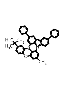 Cc1cc2c3c(c1)-n1c4ccc(-c5ccccc5)cc4c4cc(-c5ccccc5)cc(c41)B3c1cc(C(C)(C)C)ccc1O2